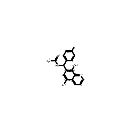 CC(=O)NC(c1ccc(O)cc1)c1cc(Cl)c2cccnc2c1O